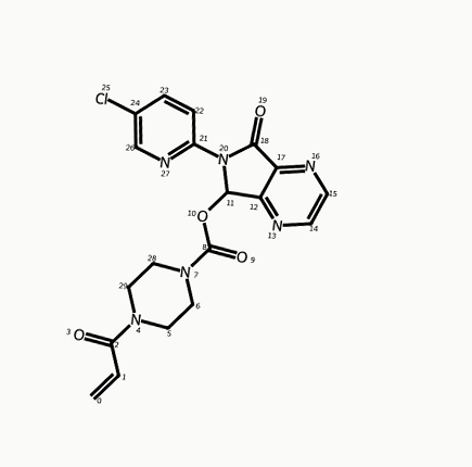 C=CC(=O)N1CCN(C(=O)OC2c3nccnc3C(=O)N2c2ccc(Cl)cn2)CC1